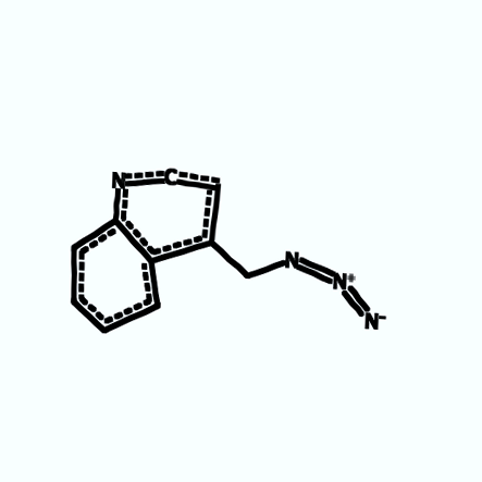 [N-]=[N+]=NCc1ccnc2ccccc12